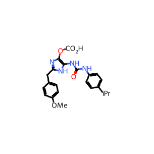 COc1ccc(Cc2nc(OC(=O)O)c(NC(=O)Nc3ccc(C(C)C)cc3)[nH]2)cc1